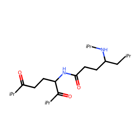 CC(C)CC(CCC(=O)NC(CCC(=O)C(C)C)C(=O)C(C)C)NC(C)C